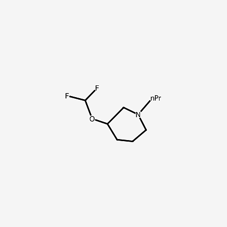 CCCN1CCCC(OC(F)F)C1